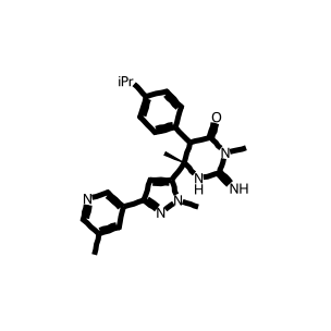 Cc1cncc(-c2cc([C@@]3(C)NC(=N)N(C)C(=O)C3c3ccc(C(C)C)cc3)n(C)n2)c1